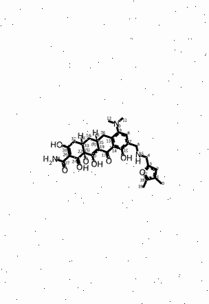 Cc1cc(CNCc2cc(N(C)C)c3c(c2O)C(=O)C2=C(O)[C@]4(O)C(=O)C(C(N)=O)=C(O)C[C@@H]4C[C@@H]2C3)oc1C